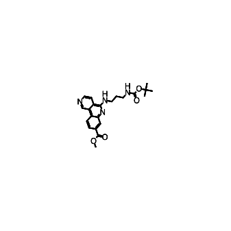 COC(=O)c1ccc2c(c1)nc(NCCCNC(=O)OC(C)(C)C)c1ccncc12